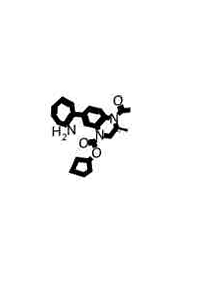 CC(=O)N1c2ccc(C3=C(N)CC=CC=C3)cc2N(C(=O)OC2CCCC2)C[C@@H]1C